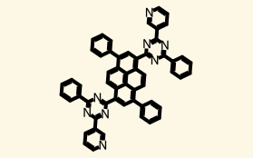 c1ccc(-c2nc(-c3cccnc3)nc(-c3cc(-c4ccccc4)c4ccc5c(-c6nc(-c7ccccc7)nc(-c7cccnc7)n6)cc(-c6ccccc6)c6ccc3c4c65)n2)cc1